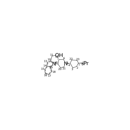 CC(C)[C@H]1CC[C@@H](N2CCC(n3c(CO)cc4ccccc43)CC2)CC1